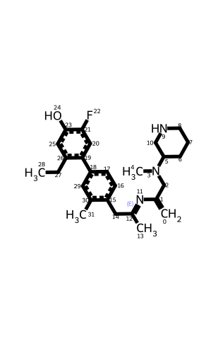 C=C(CN(C)C1CCCNC1)/N=C(\C)Cc1ccc(-c2cc(F)c(O)cc2CC)cc1C